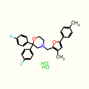 Cc1ccc(-c2cc(C)c(CN3CCOC(c4ccc(F)cc4)(c4ccc(F)cc4)C3)o2)cc1.Cl.Cl